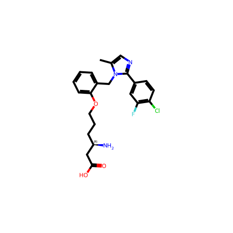 Cc1cnc(-c2ccc(Cl)c(F)c2)n1Cc1ccccc1OCCC[C@@H](N)CC(=O)O